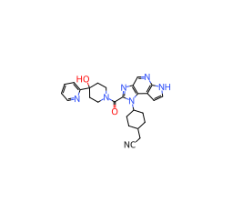 N#CCC1CCC(n2c(C(=O)N3CCC(O)(c4ccccn4)CC3)nc3cnc4[nH]ccc4c32)CC1